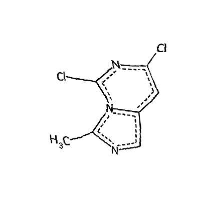 Cc1ncc2cc(Cl)nc(Cl)n12